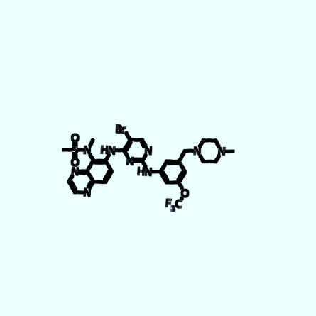 CN1CCN(Cc2cc(Nc3ncc(Br)c(Nc4ccc5nccnc5c4N(C)S(C)(=O)=O)n3)cc(OC(F)(F)F)c2)CC1